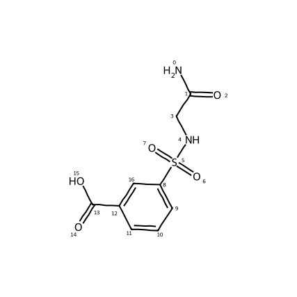 NC(=O)CNS(=O)(=O)c1cccc(C(=O)O)c1